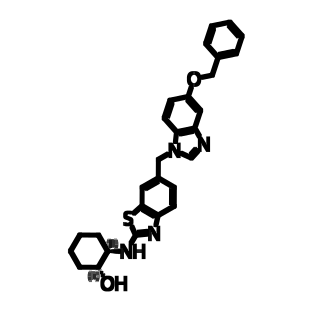 O[C@@H]1CCCC[C@H]1Nc1nc2ccc(Cn3cnc4cc(OCc5ccccc5)ccc43)cc2s1